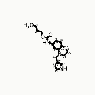 CCCCOC(=O)Nc1ccc2c(c1)N(Cc1c[nH]cn1)CCO2